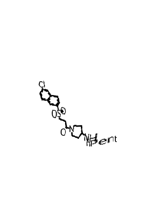 CCCCCNC1CCN(C(=O)CCS(=O)(=O)c2ccc3cc(Cl)ccc3c2)CC1